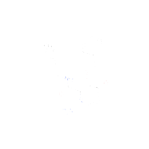 C=CCCNC(=O)c1c(OCc2ccccc2)c(=O)ccn1N